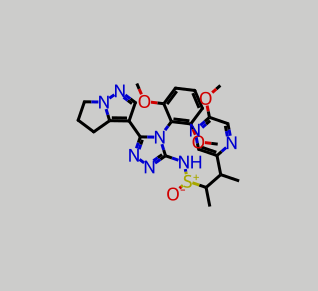 COc1cnc(C(C)C(C)[S+]([O-])Nc2nnc(-c3cnn4c3CCC4)n2-c2c(OC)cccc2OC)cn1